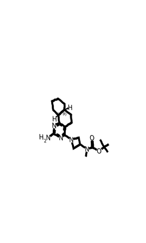 CN(C(=O)OC(C)(C)C)C1CN(c2nc(N)nc3c2CC[C@H]2CCCC[C@H]32)C1